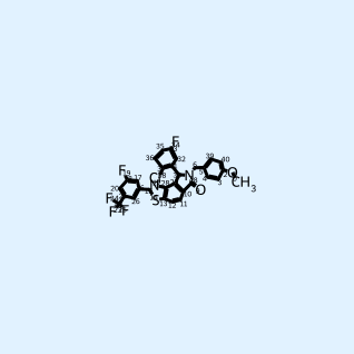 COc1ccc(CN2C(=O)c3ccc4sc(-c5cc(F)cc(C(F)(F)F)c5)nc4c3C2c2cc(F)ccc2Cl)cc1